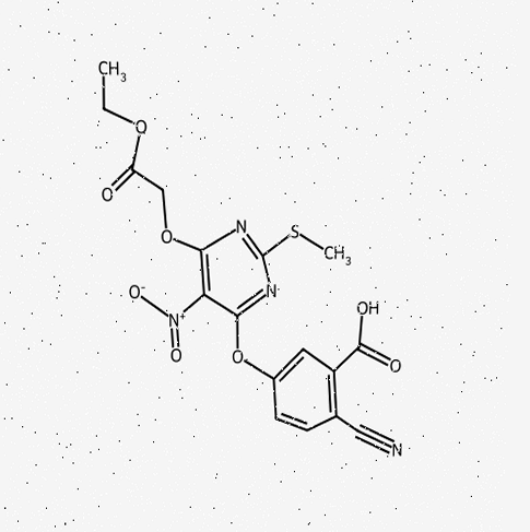 CCOC(=O)COc1nc(SC)nc(Oc2ccc(C#N)c(C(=O)O)c2)c1[N+](=O)[O-]